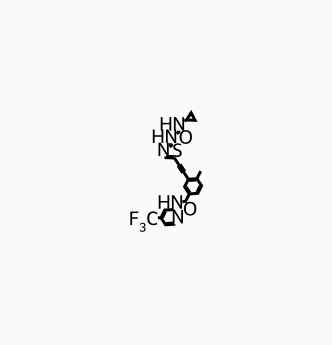 Cc1ccc(C(=O)Nc2cc(C(F)(F)F)ccn2)cc1C#Cc1cnc(NC(=O)NC2CC2)s1